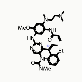 C=CC(=O)Nc1cc(Nc2ncc(NC(=O)NC)c(/C(=C/C)c3ccccc3CC)n2)c(OC)cc1N(C)CCN(C)C